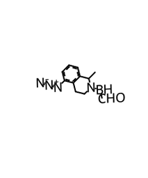 CC1c2cccc(N=[N+]=[N-])c2CCN1BC=O